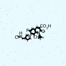 Cc1c(N2CCC(CNCl)C2)c(F)cc2cc(C(=O)O)c(=O)n(C3CC3)c12